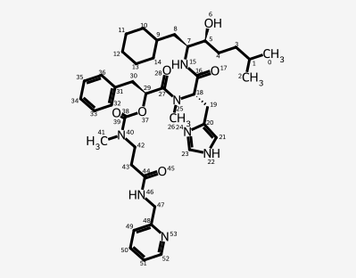 CC(C)CC[C@H](O)[C@H](CC1CCCCC1)NC(=O)[C@H](Cc1c[nH]cn1)N(C)C(=O)[C@H](Cc1ccccc1)OC(=O)N(C)CCC(=O)NCc1ccccn1